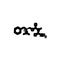 CN(C(N)=O)C(=O)OC[C@@H](Cc1ccccc1)N(C)C